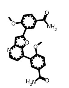 COc1ccc(C(N)=O)cc1-c1cc2nccc(-c3cc(C(N)=O)ccc3OC)c2o1